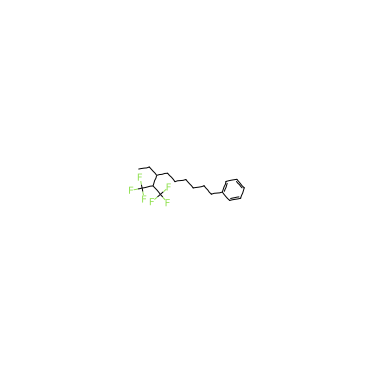 CCC(CCCCCCc1ccccc1)C(C(F)(F)F)C(F)(F)F